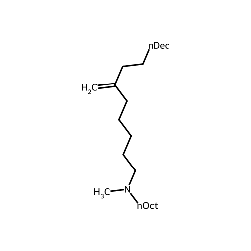 C=C(CCCCCCCCCCCC)CCCCCN(C)CCCCCCCC